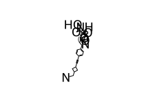 C[C@@](C[C@H]1CC(c2ccc(C#CC3CC(CC#N)C3)cc2)=NO1)(C(=O)NO)S(C)(=O)=O